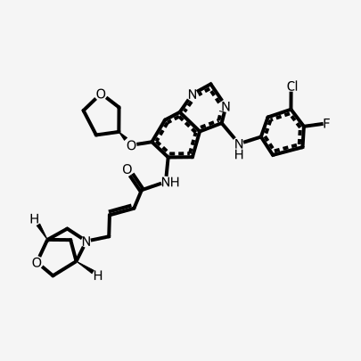 O=C(C=CCN1C[C@@H]2C[C@H]1CO2)Nc1cc2c(Nc3ccc(F)c(Cl)c3)ncnc2cc1O[C@H]1CCOC1